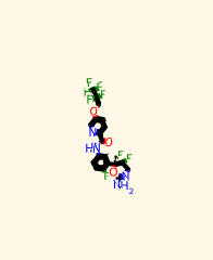 C[C@]1(c2cc(NC(=O)c3ccc(OCC(F)(F)C(F)(F)F)cn3)ccc2F)OC(N)=NCC1(F)F